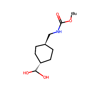 CC(C)(C)OC(=O)NC[C@H]1CC[C@H](C(O)O)CC1